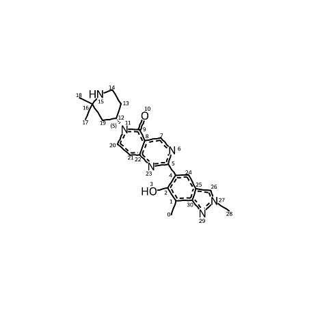 Cc1c(O)c(-c2ncc3c(=O)n([C@H]4CCNC(C)(C)C4)ccc3n2)cc2cn(C)nc12